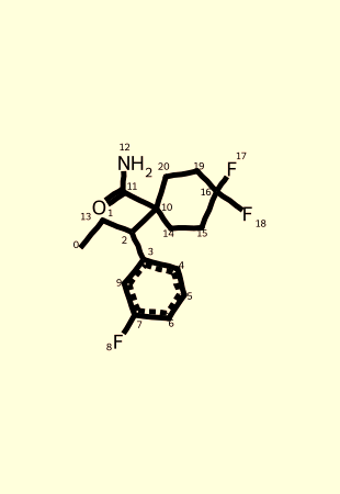 CCC(c1cccc(F)c1)C1(C(N)=O)CCC(F)(F)CC1